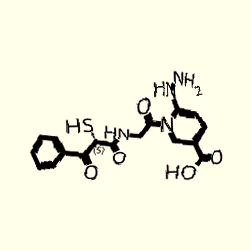 NNC1=CC=C(C(=O)O)CN1C(=O)CNC(=O)[C@@H](S)C(=O)c1ccccc1